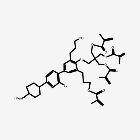 C=C(C)C(=O)OCCCc1cc(-c2ccc(C3CCC(CCCCC)CC3)cc2CC)cc(CCCO)c1OCC(COC(=O)C(=C)C)(COC(=O)C(=C)C)COC(=O)C(=C)C